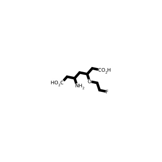 NC(CC(=O)O)CC(CC(=O)O)OCCF